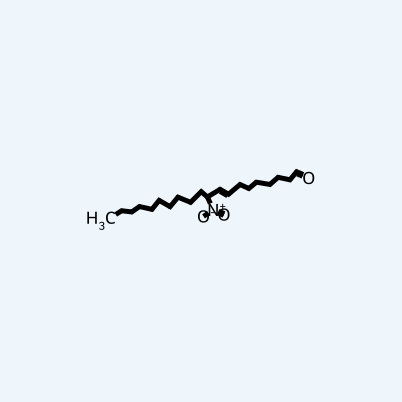 CCCCCCCCCCC(/C=C/CCCCCCC=O)[N+](=O)[O-]